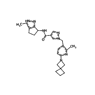 Cc1nc(N2CC3(CCC3)C2)ccc1Cn1cc(C(=O)NC2CCc3c2n[nH]c3C)cn1